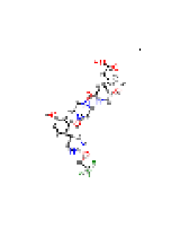 COc1ccc(-c2cnc(OCC(F)(F)F)nc2)c(ON2CCN(Oc3cc4c(cn3)OCCC4CC(=O)O)CC2)c1